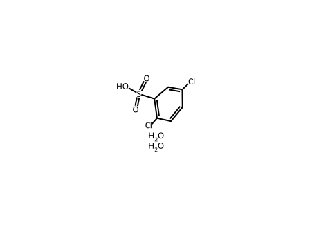 O.O.O=S(=O)(O)c1cc(Cl)ccc1Cl